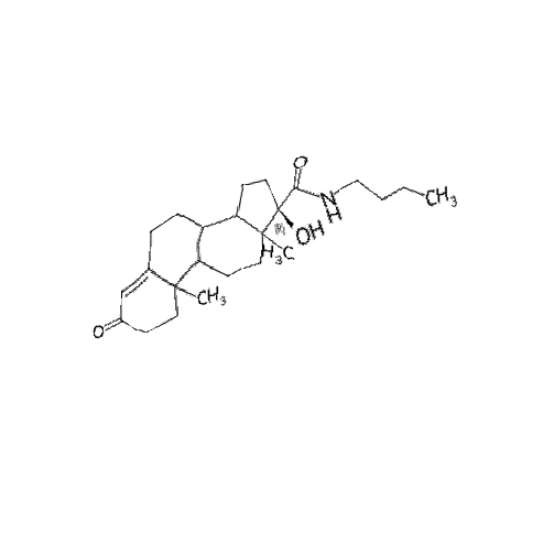 CCCCNC(=O)[C@@]1(O)CCC2C3CCC4=CC(=O)CCC4(C)C3CCC21C